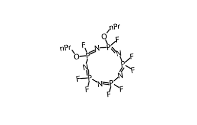 CCCOP1(F)=NP(F)(F)=NP(F)(F)=NP(F)(F)=NP(F)(OCCC)=N1